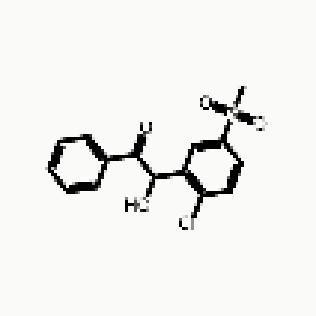 CS(=O)(=O)c1ccc(Cl)c(C(O)C(=O)c2ccccc2)c1